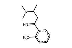 CC(CC(=N)c1cc[c]cc1C(F)(F)F)N(C)C